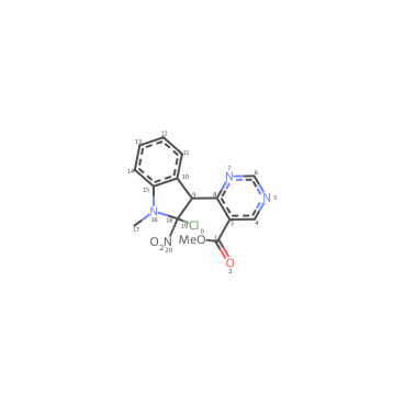 COC(=O)c1cncnc1C1c2ccccc2N(C)C1(Cl)[N+](=O)[O-]